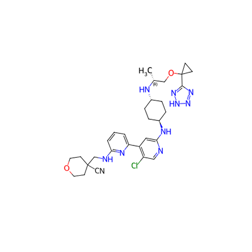 C[C@H](COC1(c2nn[nH]n2)CC1)N[C@H]1CC[C@H](Nc2cc(-c3cccc(NCC4(C#N)CCOCC4)n3)c(Cl)cn2)CC1